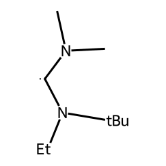 CCN([CH]N(C)C)C(C)(C)C